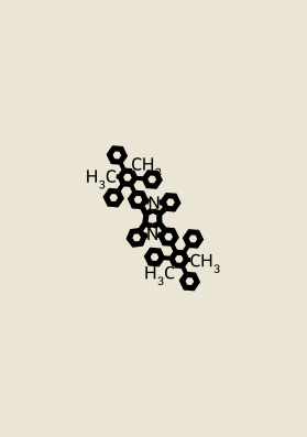 Cc1c(-c2ccccc2)c(C)c(-c2ccccc2)c(-c2ccc3c4c5c6ccccc6n6c7cc(-c8c(-c9ccccc9)c(C)c(-c9ccccc9)c(C)c8-c8ccccc8)ccc7c(c7c8ccccc8n(c3c2)c74)c56)c1-c1ccccc1